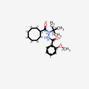 COc1ccccc1C(=O)NN(C(=O)C1CCCCCCC1)C(C)(C)C